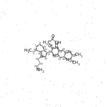 CC(=O)O.CCc1cccc2c(-c3nc4cc5nc(C)c(C)nc5cc4[nH]c3=O)cn(CCCN)c12